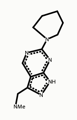 CNCc1n[nH]c2nc(N3CCCCC3)ncc12